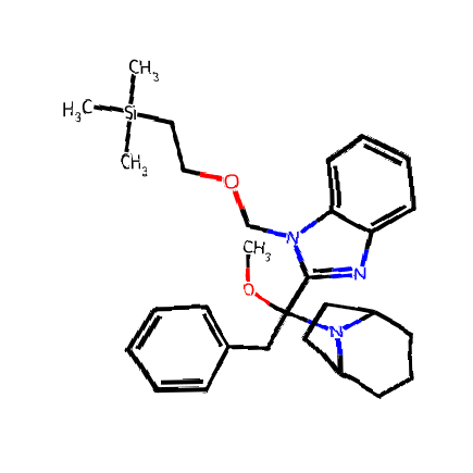 COC(Cc1ccccc1)(c1nc2ccccc2n1COCC[Si](C)(C)C)N1C2CCCC1CC2